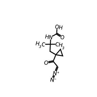 CC(C)(CC1(C(=O)C=[N+]=[N-])CC1)NC(=O)O